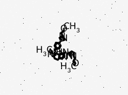 COCCn1cc(-c2ccc(-c3c4c(nn3C)CCc3cnc(Nc5ccn(CCOC)n5)nc3-4)cc2)cn1